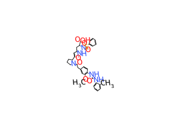 COc1cc(CC(=O)N2CCCC2c2cc(CC(NS(=O)(=O)c3ccccc3)C(=O)O)no2)ccc1NC(=O)Nc1ccccc1C